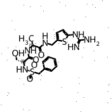 C[C@H](NC(=O)[C@@H](CO)NS(=O)(=O)Cc1ccccc1)C(=O)NCc1ccc(NC(=N)N)s1